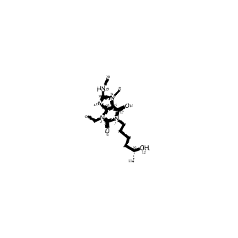 CCn1c(=O)n(CCCC[C@@H](C)O)c(=O)c2c1nc(NC)n2C